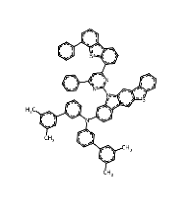 Cc1cc(C)cc(-c2cccc(N(c3cccc(-c4cc(C)cc(C)c4)c3)c3ccc4c5cc6sc7ccccc7c6cc5n(-c5nc(-c6ccccc6)cc(-c6cccc7c6sc6c(-c8ccccc8)cccc67)n5)c4c3)c2)c1